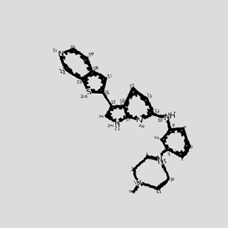 CN1CCN(c2cccc(Nc3ccc4c(-c5cc6ccncc6s5)c[nH]c4n3)c2)CC1